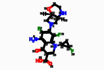 Nc1c(F)c(N2C[C@@H]3NCCO[C@@H]3C2)c(F)c2c1c(=O)c(C(=O)O)cn2[C@@H]1C[C@@H]1F